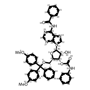 COc1ccc(C(OC[C@H]2O[C@@H](n3cnc4c(NC(=O)c5ccccc5)ncnc43)[C@H](O)[C@@H]2OC(=O)Nc2ccccc2)(c2ccccc2)c2ccc(OC)cc2)cc1